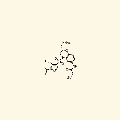 CC(=O)NC[C@H]1CN(S(=O)(=O)c2cnn(C(F)F)c2C)c2cc(NC(=O)OC(C)(C)C)ccc2O1